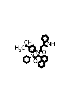 CC(C)c1ccc(N(C(=O)Cc2c[nH]c3ccccc23)C(C(=O)NC2CCCCC2)c2cccc3ccccc23)cc1